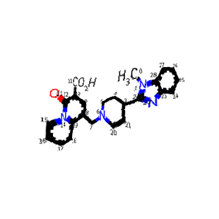 Cn1c(C2CCN(Cc3cc(C(=O)O)c(=O)n4ccccc34)CC2)nc2ccccc21